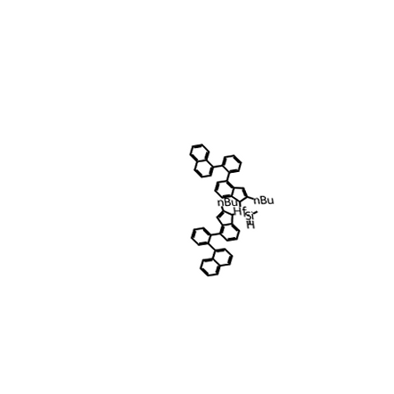 CCCCC1=Cc2c(-c3ccccc3-c3cccc4ccccc34)cccc2[CH]1[Hf]([CH]1C(CCCC)=Cc2c(-c3ccccc3-c3cccc4ccccc34)cccc21)[SiH](C)C